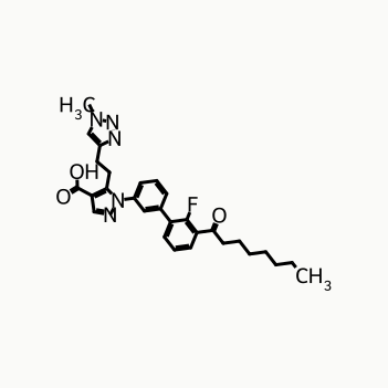 CCCCCCCC(=O)c1cccc(-c2cccc(-n3ncc(C(=O)O)c3CCc3cn(C)nn3)c2)c1F